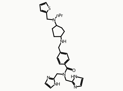 CCCN(Cc1cccs1)C1CCC(NCc2ccc(C(=O)N(Cc3ncc[nH]3)Cc3ncc[nH]3)cc2)CC1